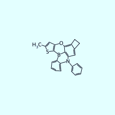 Cc1cc2c(s1)B1c3ccccc3N(c3ccccc3)c3cc4c(c(c31)O2)CC4